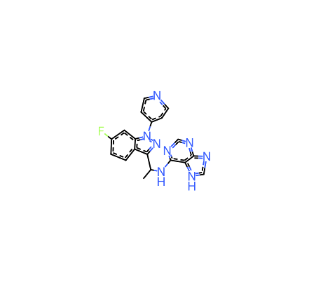 CC(Nc1ncnc2nc[nH]c12)c1nn(-c2ccncc2)c2cc(F)ccc12